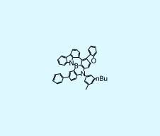 CCCCc1cc(C)cc(N2c3ccc(-c4ccccc4)cc3B3c4c2cc2oc5ccccc5c2c4-c2cccc4c5ccccc5n3c24)c1